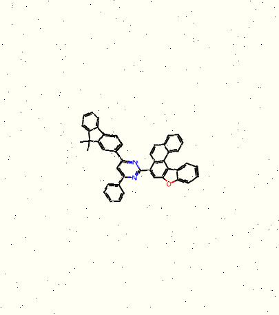 CC1(C)c2ccccc2-c2ccc(-c3cc(-c4ccccc4)nc(-c4cc5oc6ccccc6c5c5c4ccc4ccccc45)n3)cc21